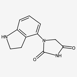 O=C1CN(c2cccc3c2CCN3)C(=O)N1